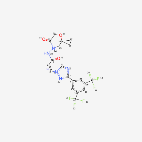 O=C(/C=C\n1cnc(-c2cc(C(F)(F)F)cc(C(F)(F)F)c2)n1)NN1CC2(CC2)OCC1=O